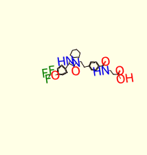 O=C(O)CCNC(=O)c1ccc(CCN2C(=O)C(c3ccc(OC(F)(F)F)cc3)NC23CCCCC3)cc1